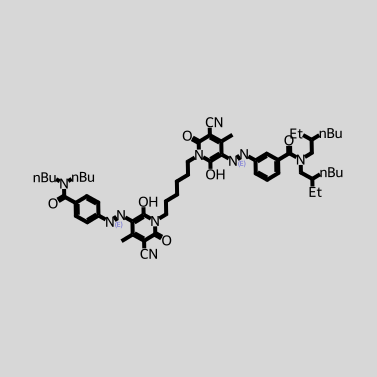 CCCCC(CC)CN(CC(CC)CCCC)C(=O)c1cccc(/N=N/c2c(C)c(C#N)c(=O)n(CCCCCCn3c(O)c(/N=N/c4ccc(C(=O)N(CCCC)CCCC)cc4)c(C)c(C#N)c3=O)c2O)c1